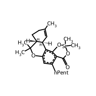 CCCCCc1cc2c(c3c1C(=O)O[Si](C)(C)O3)[C@@H]1C=C(C)CC[C@H]1C(C)(C)O2